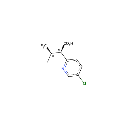 C[C@H]([C@@H](C(=O)O)c1ccc(Cl)cn1)C(F)(F)F